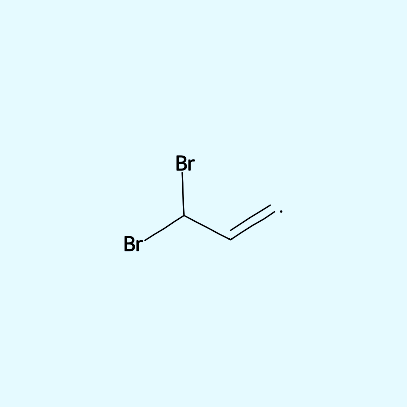 [CH]=CC(Br)Br